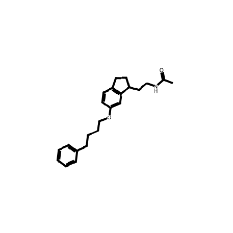 CC(=O)NCCC1CCc2ccc(OCCCCc3ccccc3)cc21